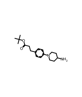 CC(C)(C)OC(=O)CCc1ccc(N2CCC(N)CC2)cc1